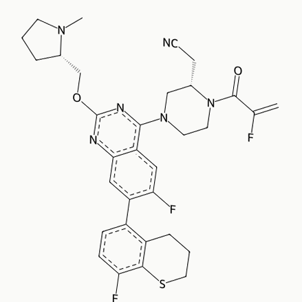 C=C(F)C(=O)N1CCN(c2nc(OC[C@@H]3CCCN3C)nc3cc(-c4ccc(F)c5c4CCCS5)c(F)cc23)C[C@@H]1CC#N